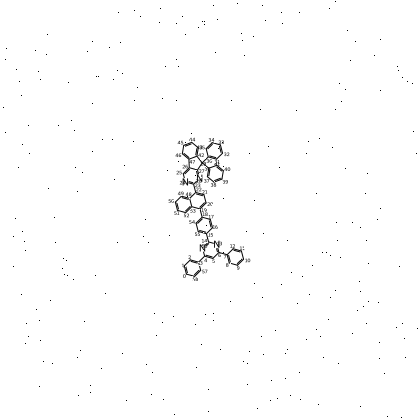 c1ccc(-c2cc(-c3ccccc3)nc(-c3ccc(-c4ccc(-c5ncc6c(n5)C(c5ccccc5)(c5ccccc5)c5ccccc5-6)c5ccccc45)cc3)n2)cc1